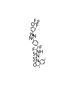 Cc1ccc(C(C)C)c(N2C(=O)CS/C2=N\C(=S)NC(F)C(F)c2ccc(-c3ncn(-c4ccc(OC(F)(F)F)cc4)n3)cc2)c1